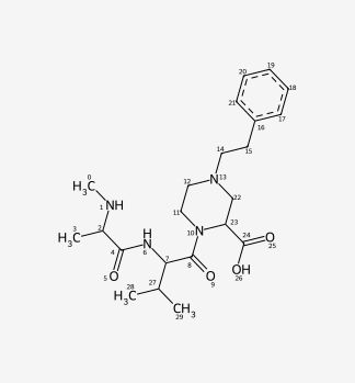 CNC(C)C(=O)NC(C(=O)N1CCN(CCc2ccccc2)CC1C(=O)O)C(C)C